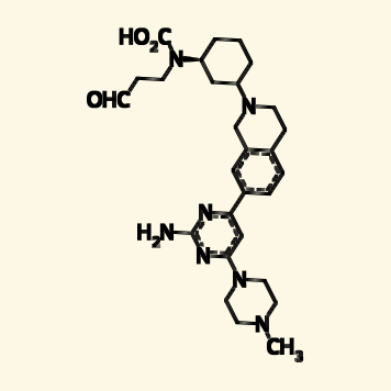 CN1CCN(c2cc(-c3ccc4c(c3)CN(C3CCC[C@H](N(CCC=O)C(=O)O)C3)CC4)nc(N)n2)CC1